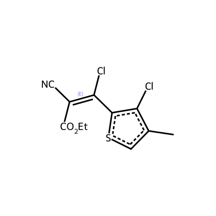 CCOC(=O)/C(C#N)=C(/Cl)c1scc(C)c1Cl